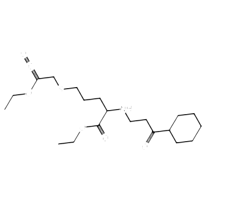 CCOC(=O)C(CCCSCC(=C=O)OCC)NCCC(=O)C1CCCCC1